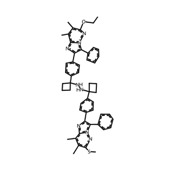 CCOc1nn2c(-c3ccccc3)c(-c3ccc(C4(NNC5(c6ccc(-c7nc8c(C)c(C)c(SC)nn8c7-c7ccccc7)cc6)CCC5)CCC4)cc3)nc2c(C)c1C